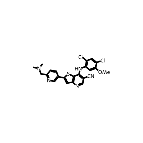 COc1cc(Nc2c(C#N)cnc3cc(-c4ccc(CN(C)C)nc4)sc23)c(Cl)cc1Cl